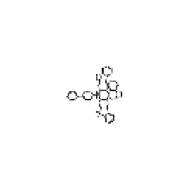 CC1(C)c2ccccc2-c2cc3c(cc21)N(c1ccc(-c2ccccc2)cc1)c1cc2oc4ccccc4c2cc1C31c2ccccc2Oc2ccccc21